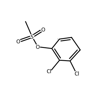 CS(=O)(=O)Oc1[c]ccc(Cl)c1Cl